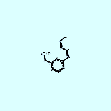 C/C=C\C=C/c1cccc(CC=O)c1